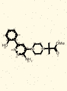 COC(=O)C(C)(C)N1CCN(c2cc(-c3ccccc3O)nnc2N)CC1